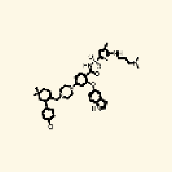 Cc1cc(S(=O)(=O)NC(=O)c2ccc(N3CCN(CC4=C(c5ccc(Cl)cc5)CC(C)(C)CC4)CC3)cc2Oc2ccc3[nH]ccc3c2)sc1NCCCN(C)C